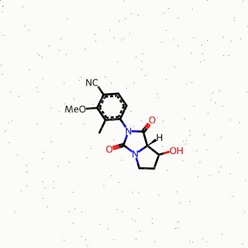 COc1c(C#N)ccc(N2C(=O)[C@@H]3C(O)CCN3C2=O)c1C